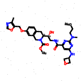 COCCN(C)c1nc(NC2COC2)cc(C(=O)NC[C@@H](O)[C@@H]2Cc3ccc(OCc4ocnc4C)cc3CN2C(=O)OC(C)(C)C)n1